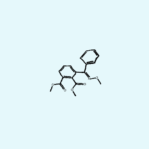 CON=C(c1ccccc1)c1cccc(C(=O)OC)c1C(=O)OC